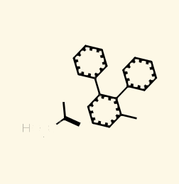 C=C(C)C(=O)O.Cc1cccc(-c2ccccc2)c1-c1ccccc1